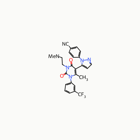 CNCCn1c(=O)c(-c2ccnn2-c2ccc(C#N)cc2)c(C)n(-c2cccc(C(F)(F)F)c2)c1=O